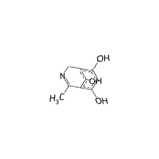 CC1=NCc2c(O)cc(O)c1c2O